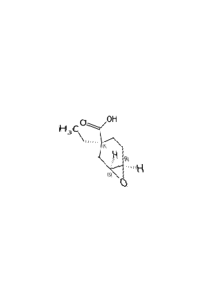 CC[C@]1(C(=O)O)CC[C@H]2O[C@H]2C1